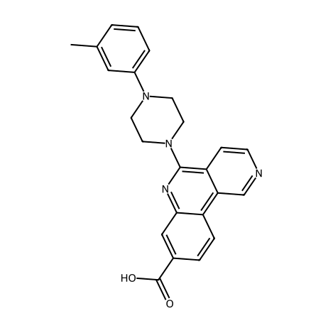 Cc1cccc(N2CCN(c3nc4cc(C(=O)O)ccc4c4cnccc34)CC2)c1